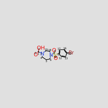 O=C(O)N1CCCN(S(=O)(=O)c2ccc(Br)cc2)CC1